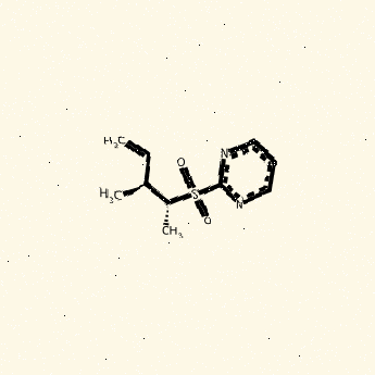 C=C[C@H](C)[C@@H](C)S(=O)(=O)c1ncccn1